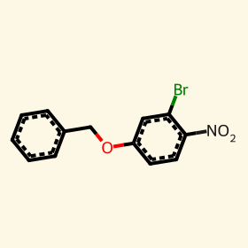 O=[N+]([O-])c1ccc(OCc2ccccc2)cc1Br